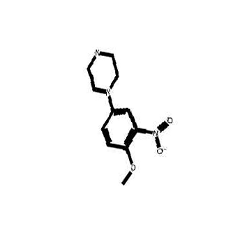 COc1ccc(N2CC[N]CC2)cc1[N+](=O)[O-]